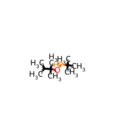 CC(C)C(C)(C)OPC(C)(C)C